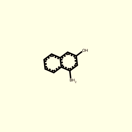 Bc1cc(O)cc2ccccc12